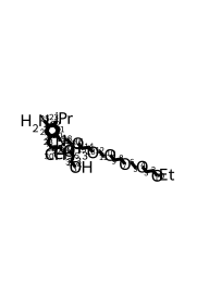 CCOCCOCCOCCOCCOCCOC(CN1c2cc(C(C)C)c(N)cc2CC(C)C1(C)C)OCCO